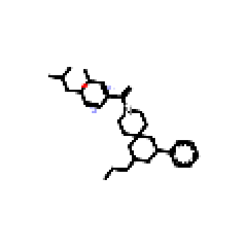 C=C(C(/C=C\C(C)CC(C)C)=C/C(C)C)N1CCC2(CC1)CC(CCC)CC(c1ccccc1)C2